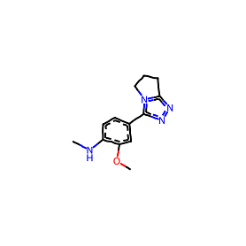 CNc1ccc(-c2nnc3n2CCC3)cc1OC